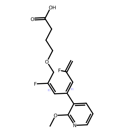 C=C(F)/C=C(\C=C(\F)COCCCC(=O)O)c1cccnc1OC